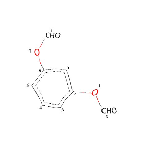 O=COc1cccc(OC=O)c1